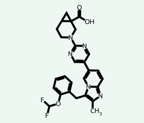 Cc1nc2ccc(-c3cnc(N4CCC5CC5(C(=O)O)C4)nc3)cn2c1Cc1ccccc1OC(F)F